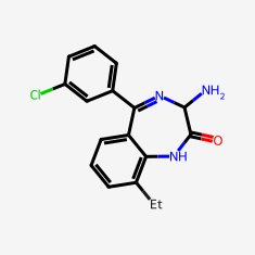 CCc1cccc2c1NC(=O)C(N)N=C2c1cccc(Cl)c1